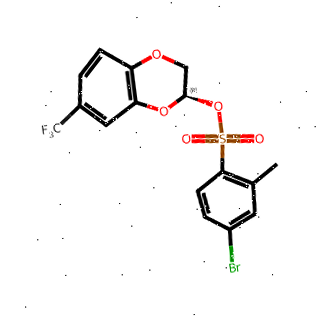 Cc1cc(Br)ccc1S(=O)(=O)O[C@@H]1COc2ccc(C(F)(F)F)cc2O1